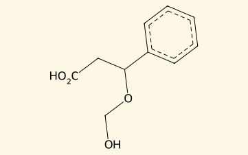 O=C(O)CC(OCO)c1ccccc1